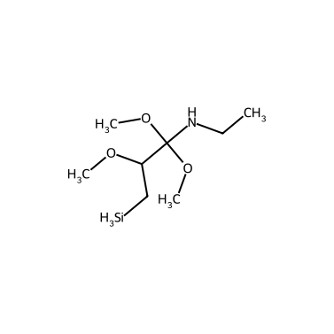 CCNC(OC)(OC)C(C[SiH3])OC